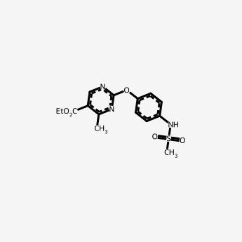 CCOC(=O)c1cnc(Oc2ccc(NS(C)(=O)=O)cc2)nc1C